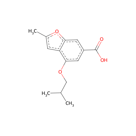 Cc1cc2c(OCC(C)C)cc(C(=O)O)cc2o1